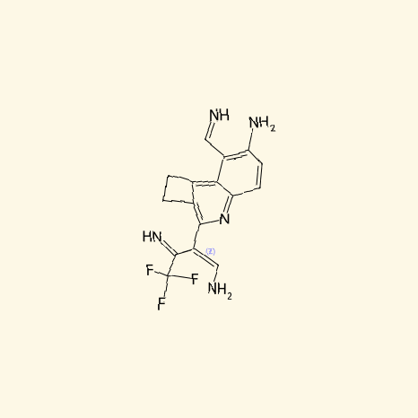 N=Cc1c(N)ccc2nc(/C(=C/N)C(=N)C(F)(F)F)c3c(c12)CC3